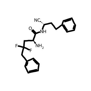 N#C[C@H](CCc1ccccc1)NC(=O)[C@@H](N)CC(F)(F)Cc1ccccc1